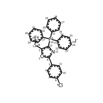 CCSc1oc(-c2ccc(Cl)cc2)nc1[P+](c1ccccc1)(c1ccccc1)c1ccccc1.[I-]